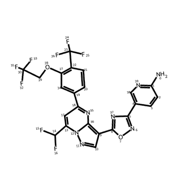 Nc1ccc(-c2noc(-c3cnn4c(C(F)F)cc(-c5ccc(C(F)(F)F)c(OCC(F)(F)F)c5)nc34)n2)cn1